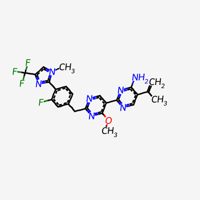 C=C(C)c1cnc(-c2cnc(Cc3ccc(-c4nc(C(F)(F)F)cn4C)c(F)c3)nc2OC)nc1N